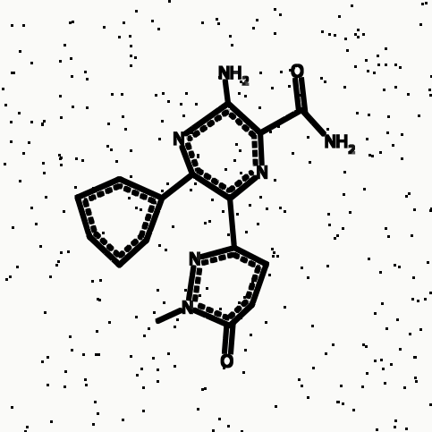 Cn1nc(-c2nc(C(N)=O)c(N)nc2-c2ccccc2)ccc1=O